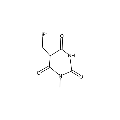 CC(C)CC1C(=O)NC(=O)N(C)C1=O